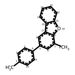 Cc1ccc(-c2cc(C)c3oc4ccccc4c3c2)cc1